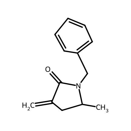 C=C1CC(C)N(Cc2ccccc2)C1=O